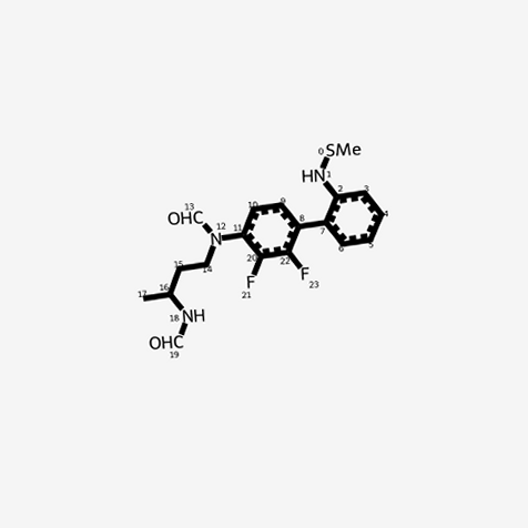 CSNc1ccccc1-c1ccc(N(C=O)CCC(C)NC=O)c(F)c1F